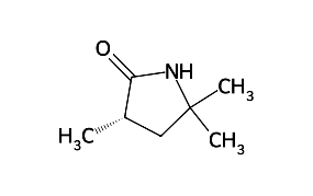 C[C@H]1CC(C)(C)NC1=O